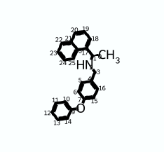 C[C@@H](NCc1ccc(Oc2ccccc2)cc1)c1cccc2ccccc12